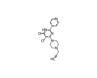 C#CCN1CCN(c2nc(-c3ccncc3)[nH]c(=O)c2Cl)CC1